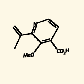 C=C(C)c1nccc(C(=O)O)c1OC